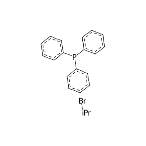 CC(C)Br.c1ccc(P(c2ccccc2)c2ccccc2)cc1